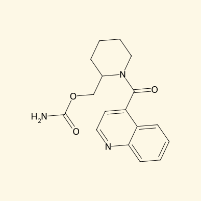 NC(=O)OCC1CCCCN1C(=O)c1ccnc2ccccc12